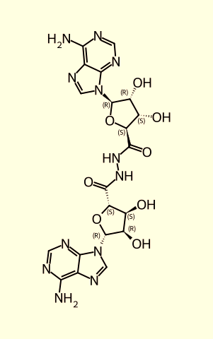 Nc1ncnc2c1ncn2[C@@H]1O[C@H](C(=O)NNC(=O)[C@H]2O[C@@H](n3cnc4c(N)ncnc43)[C@H](O)[C@@H]2O)[C@@H](O)[C@H]1O